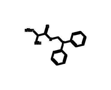 CCCCCCCCCC(CCCC)C(=O)SCP(c1ccccc1)c1ccccc1